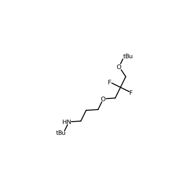 CC(C)(C)NCCCOCC(F)(F)COC(C)(C)C